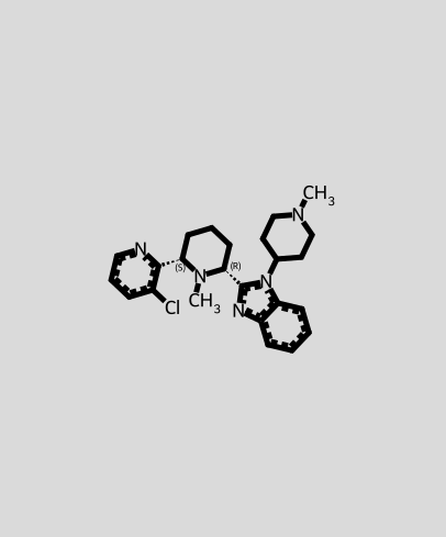 CN1CCC(n2c([C@H]3CCC[C@@H](c4ncccc4Cl)N3C)nc3ccccc32)CC1